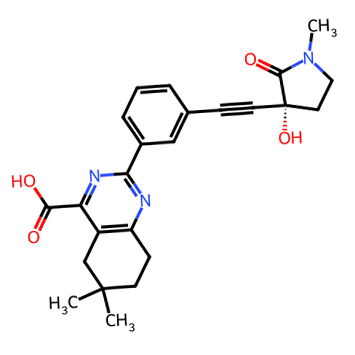 CN1CC[C@@](O)(C#Cc2cccc(-c3nc4c(c(C(=O)O)n3)CC(C)(C)CC4)c2)C1=O